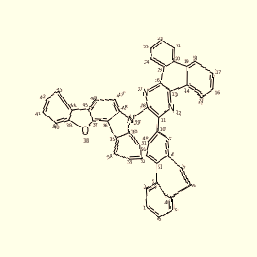 c1ccc2c(c1)ccc1cc(-c3nc4c5ccccc5c5ccccc5c4nc3-n3c4ccccc4c4c5oc6ccccc6c5ccc43)ccc12